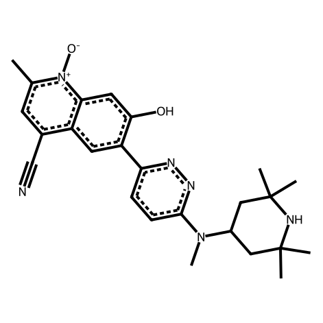 Cc1cc(C#N)c2cc(-c3ccc(N(C)C4CC(C)(C)NC(C)(C)C4)nn3)c(O)cc2[n+]1[O-]